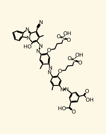 Cc1cc(N=Nc2cc(OCCCS(=O)(=O)O)c(N=Nc3c(C)c(C#N)c4nc5ccccc5n4c3O)cc2C)c(OCCCS(=O)(=O)O)cc1N=Nc1cc(C(=O)O)cc(C(=O)O)c1